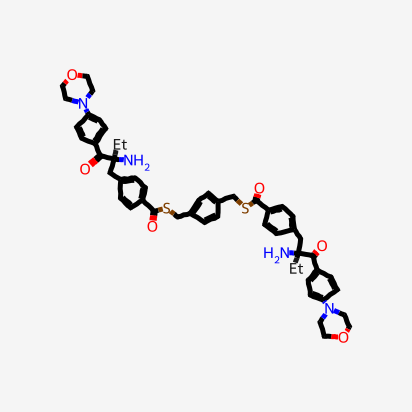 CCC(N)(Cc1ccc(C(=O)SCc2ccc(CSC(=O)c3ccc(CC(N)(CC)C(=O)c4ccc(N5CCOCC5)cc4)cc3)cc2)cc1)C(=O)c1ccc(N2CCOCC2)cc1